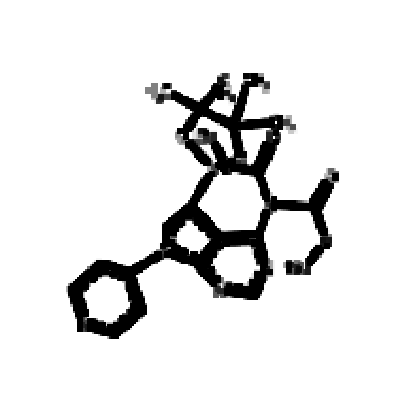 CC(C)(C)OC(=O)N(C(=O)OC(C)(C)C)c1ncnc2c1c(B1OC(C)(C)C(C)(C)O1)cn2-c1ccncc1